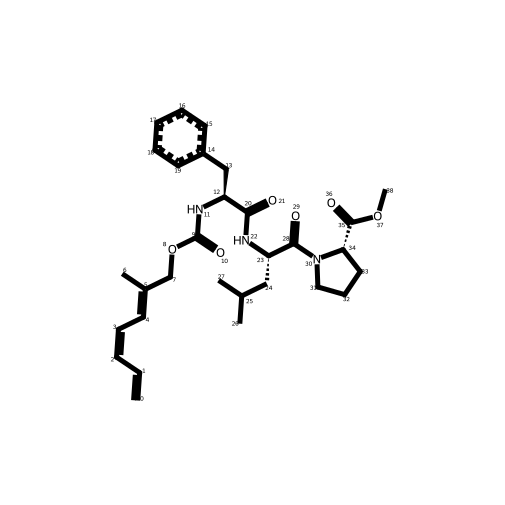 C=C/C=C\C=C(/C)COC(=O)N[C@@H](Cc1ccccc1)C(=O)N[C@@H](CC(C)C)C(=O)N1CCC[C@H]1C(=O)OC